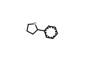 [c]1ccc(C2CCCO2)cc1